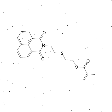 C=C(C)C(=O)OCCSCCN1C(=O)c2cccc3cccc(c23)C1=O